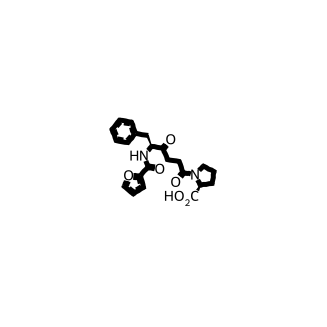 O=C(N[C@@H](Cc1ccccc1)C(=O)CCC(=O)N1CCC[C@H]1C(=O)O)c1ccco1